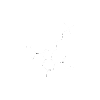 COC(=O)c1cc(I)cc2c(C(=O)C(F)(F)F)cn(COCC[Si](C)(C)C)c12